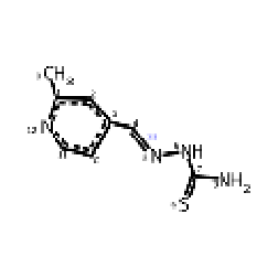 Cc1cc(/C=N/NC(N)=S)ccn1